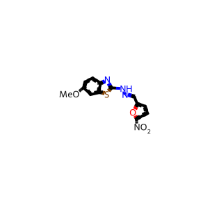 COc1ccc2nc(NN=Cc3ccc([N+](=O)[O-])o3)sc2c1